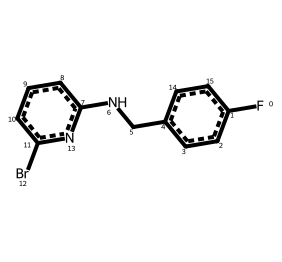 Fc1ccc(CNc2cccc(Br)n2)cc1